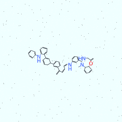 C=C1CNC(c2cccc(N/C=C\C=C/C(=C)c3cccc(C4C=C(c5ccccc5Nc5ccccc5)C=CC4)c3)c2)N(C)C2C=CC=CC2O1